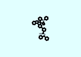 N=C(N=C(c1ccccc1)c1ccccc1)c1cccc(-c2ccc3c(c2)C2(c4ccccc4N(c4ccccc4)c4ccccc42)c2ccc4ccccc4c2-3)c1